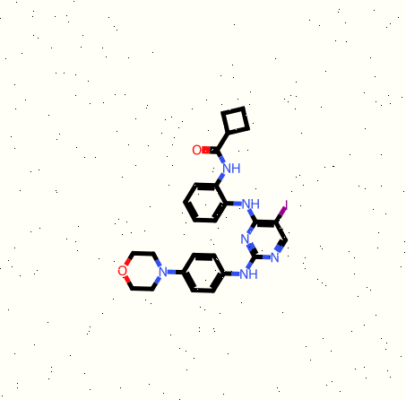 O=C(Nc1ccccc1Nc1nc(Nc2ccc(N3CCOCC3)cc2)ncc1I)C1CCC1